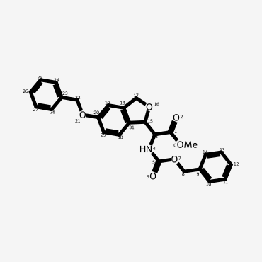 COC(=O)C(NC(=O)OCc1ccccc1)C1OCc2cc(OCc3ccccc3)ccc21